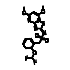 COc1cc(OC)n2sc(=NS(=O)(=O)Cc3ccccc3OC(F)F)nc2n1